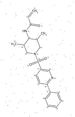 C=CC(=O)NC1C(C)CN(S(=O)(=O)c2ccc(-c3ccccc3)nc2)CC1C